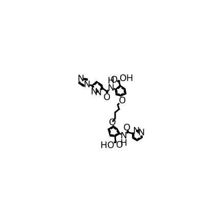 O=C(Nc1cc(OCCCCOc2ccc(C(=O)O)c(NC(=O)c3ccc(-n4ccnc4)nn3)c2)ccc1C(=O)O)c1cccnn1